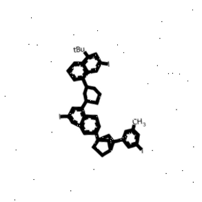 Cc1cc(I)cc(C2CC3(c4ccc5c(C6CCCC(c7cccc8c(C(C)(C)C)cc(I)cc78)C6)cc(I)cc5c4)CCC2C3)c1